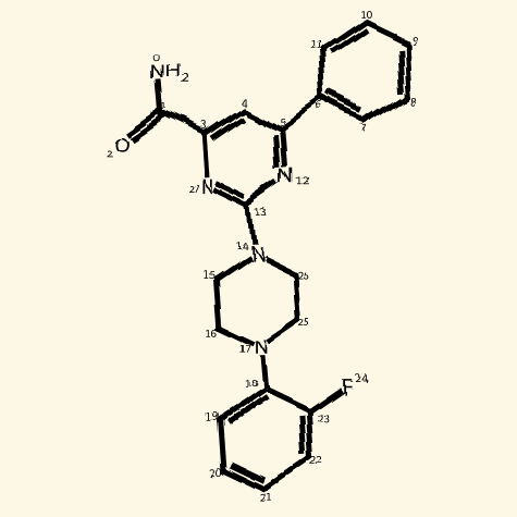 NC(=O)c1cc(-c2ccccc2)nc(N2CCN(c3ccccc3F)CC2)n1